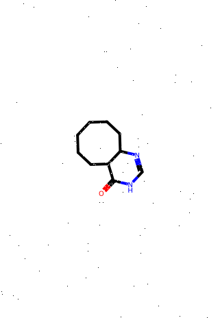 O=C1NC=NC2CCCCCCC12